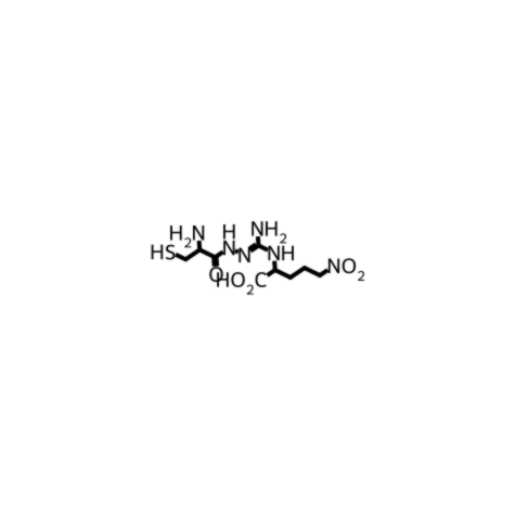 NC(=NNC(=O)C(N)CS)NC(CCC[N+](=O)[O-])C(=O)O